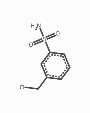 NS(=O)(=O)c1cccc(CCl)c1